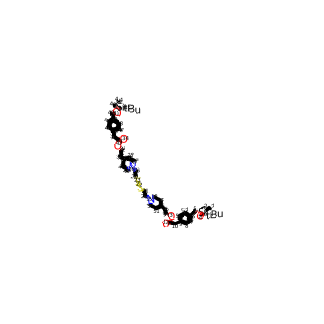 CC(C)(C)[Si](C)(C)OCc1ccc(CC(=O)OCCC2CCN(CCSSCCN3CCC(CCOC(=O)Cc4ccc(CO[Si](C)(C)C(C)(C)C)cc4)CC3)CC2)cc1